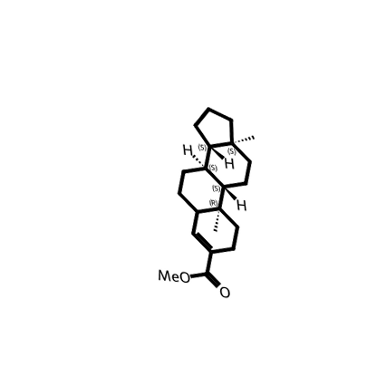 COC(=O)C1=CC2CC[C@H]3[C@@H]4CCC[C@@]4(C)CC[C@@H]3[C@@]2(C)CC1